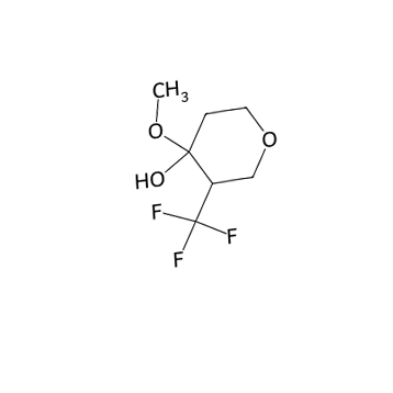 COC1(O)CCOCC1C(F)(F)F